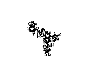 Cc1cc(-c2cnc(OC(=O)NCc3c(F)ccc4c3CCO4)c3cnc(NC(=O)OC(C)(C)C)cc23)n(C)n1